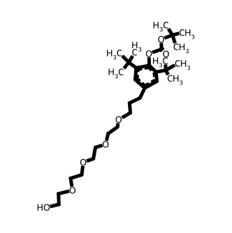 CC(C)(C)OC(=O)Oc1c(C(C)(C)C)cc(CCCOCCOCCOCCOCCO)cc1C(C)(C)C